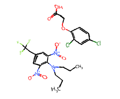 CCCN(CCC)c1c([N+](=O)[O-])cc(C(F)(F)F)cc1[N+](=O)[O-].O=C(O)COc1ccc(Cl)cc1Cl